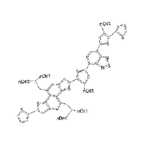 CCCCCCCCCCC(CCCCCCCC)Cc1cc2cc(-c3sc(-c4ccc(-c5cc(CCCCCCCC)c(-c6cccs6)s5)c5nsnc45)cc3CCCCCCCC)sc2c2c(CC(CCCCCCCC)CCCCCCCCCC)cc3cc(-c4cccs4)sc3c12